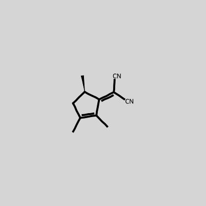 CC1=C(C)C(=C(C#N)C#N)[C@H](C)C1